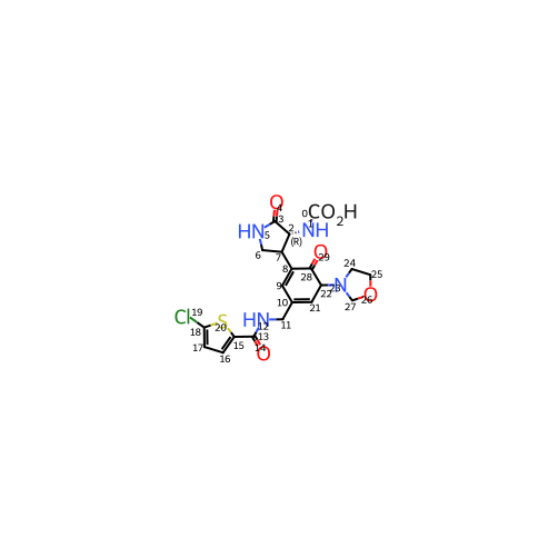 O=C(O)N[C@H]1C(=O)NCC1C1=CC(CNC(=O)c2ccc(Cl)s2)=CC(N2CCOC2)C1=O